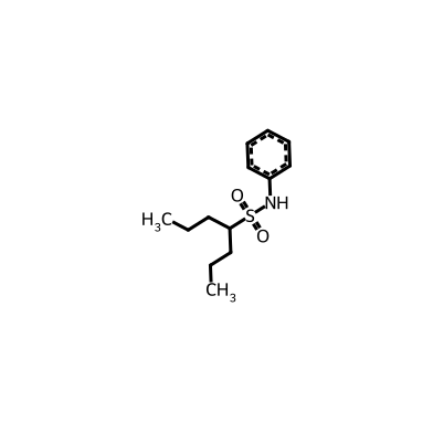 CCCC(CCC)S(=O)(=O)Nc1ccccc1